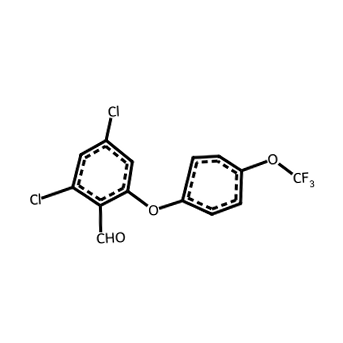 O=Cc1c(Cl)cc(Cl)cc1Oc1ccc(OC(F)(F)F)cc1